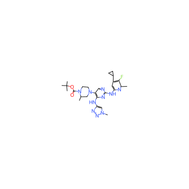 Cc1nc(Nc2ncc(N3CCN(C(=O)OC(C)(C)C)C(C)C3)c(Nc3cn(C)nn3)n2)cc(C2CC2)c1F